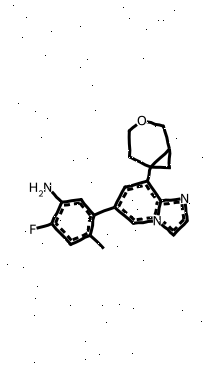 Cc1cc(F)c(N)cc1-c1cc(C23CCOCC2C3)c2nccn2c1